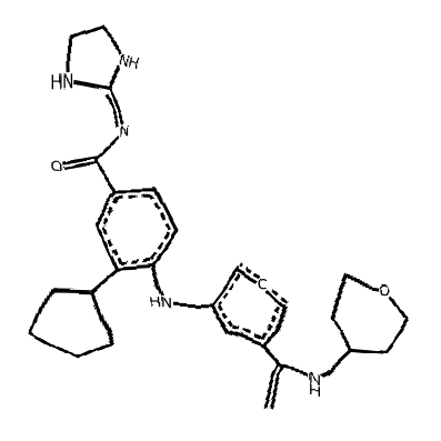 C=C(NC1CCOCC1)c1cccc(Nc2ccc(C(=O)N=C3NCCN3)cc2C2CCCC2)c1